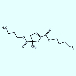 CCCCOC(=O)C1=CCC(C)(C(=O)OCCCC)C1